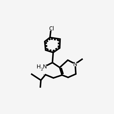 CC(C)[CH]CC1=C(C(N)c2ccc(Cl)cc2)CN(C)CC1